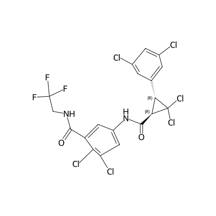 O=C(NCC(F)(F)F)c1cc(NC(=O)[C@H]2[C@H](c3cc(Cl)cc(Cl)c3)C2(Cl)Cl)cc(Cl)c1Cl